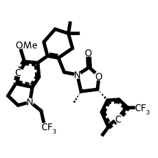 COc1cc2c(cc1C1=C(CN3C(=O)O[C@H](c4cc(C)cc(C(F)(F)F)c4)[C@@H]3C)CC(C)(C)CC1)N(CC(F)(F)F)CC2